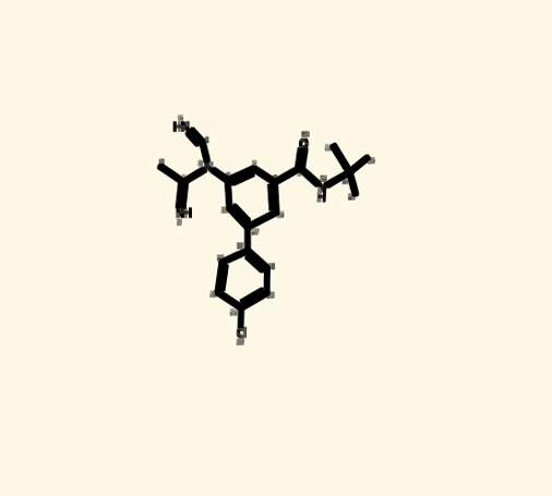 CC(=N)N(C=N)c1cc(C(=O)NC(C)(C)C)cc(-c2ccc(Cl)cc2)c1